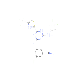 N#Cc1cc(F)cc(Nc2nc(NC3CC(F)(F)C3)nc(-c3nc(C(F)(F)F)cs3)n2)c1